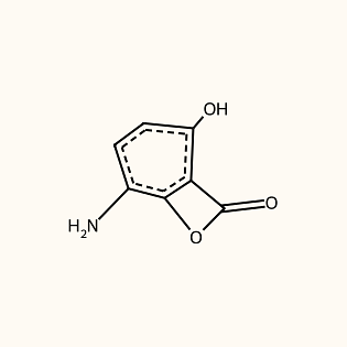 Nc1ccc(O)c2c1OC2=O